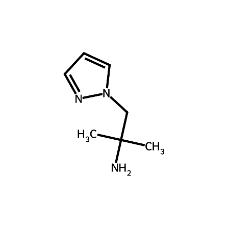 CC(C)(N)Cn1cccn1